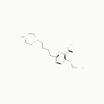 CCN1CCN(CCCCc2ccc(OCOC)c(C(=O)OC)n2)CC1